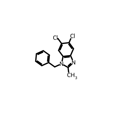 Cc1nc2cc(Cl)c(Cl)cc2n1Cc1ccccc1